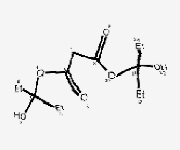 CCC(O)(CC)OC(=O)CC(=O)OC(O)(CC)CC